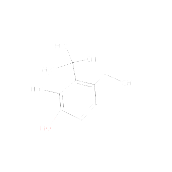 CCc1ccc(O)c(C)c1C(C)(C)C